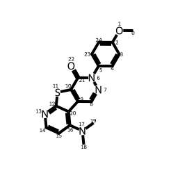 COc1ccc(-n2ncc3c(sc4nccc(N(C)C)c43)c2=O)cc1